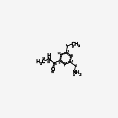 CCc1[c]c(CN)cc(C(=O)NC)c1